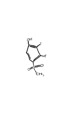 CS(=O)(=O)c1ccc(O)c(F)c1F